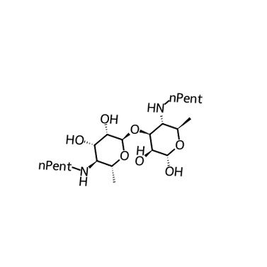 CCCCCN[C@H]1[C@H](O)[C@H](O)[C@@H](O[C@@H]2[C@H](O)[C@@H](O)O[C@H](C)[C@H]2NCCCCC)O[C@@H]1C